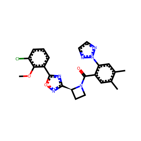 COc1c(Cl)cccc1-c1nc([C@@H]2CCN2C(=O)c2cc(C)c(C)cc2-n2nccn2)no1